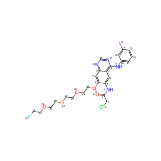 O=C(CCl)Nc1cc2c(Nc3cccc(I)c3)ncnc2cc1OCCOCCOCCOCCF